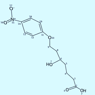 O=C(O)CCCC(O)CCOc1ccc([N+](=O)[O-])cc1